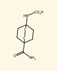 NC(=O)C12CCC(NC(=O)O)(CC1)CC2